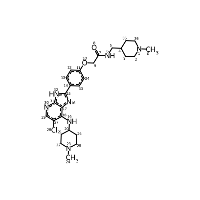 CN1CCC(CNC(=O)COc2ccc(-c3nc4c(NC5CCN(C)CC5)c(Cl)cnc4[nH]3)cc2)CC1